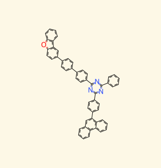 c1ccc(-c2nc(-c3ccc(-c4ccc(-c5ccc6oc7ccccc7c6c5)cc4)cc3)nc(-c3ccc(-c4cc5ccccc5c5ccccc45)cc3)n2)cc1